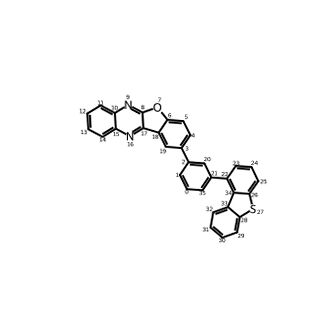 c1cc(-c2ccc3oc4nc5ccccc5nc4c3c2)cc(-c2cccc3sc4ccccc4c23)c1